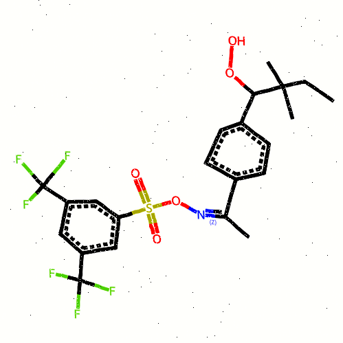 CCC(C)(C)C(OO)c1ccc(/C(C)=N\OS(=O)(=O)c2cc(C(F)(F)F)cc(C(F)(F)F)c2)cc1